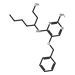 CCCCC(CCO)Nc1nc(N)ncc1OCc1ccccc1